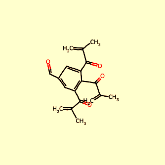 C=C(C)C(=O)c1cc(C=O)cc(C(=O)C(=C)C)c1C(=O)C(=C)C